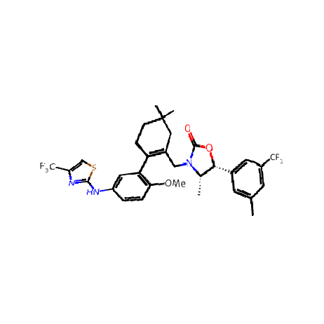 COc1ccc(Nc2nc(C(F)(F)F)cs2)cc1C1=C(CN2C(=O)O[C@H](c3cc(C)cc(C(F)(F)F)c3)[C@@H]2C)CC(C)(C)CC1